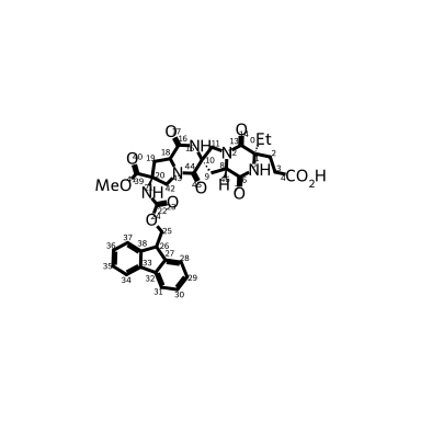 CC[C@]1(CCC(=O)O)NC(=O)[C@@H]2C[C@@]3(CN2C1=O)NC(=O)C1C[C@@](NC(=O)OCC2c4ccccc4-c4ccccc42)(C(=O)OC)CN1C3=O